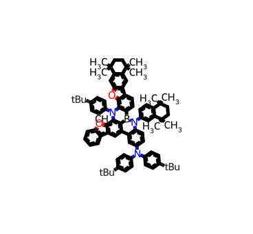 Cc1cc(C(C)(C)C)ccc1N1c2c(ccc3c2oc2cc4c(cc23)C(C)(C)CCC4(C)C)B2c3c(cc4c(oc5ccccc54)c31)-c1cc(N(c3ccc(C(C)(C)C)cc3)c3ccc(C(C)(C)C)cc3)ccc1N2c1ccc2c(c1)C(C)(C)CCC2(C)C